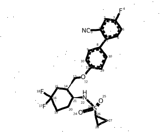 N#Cc1cc(F)ccc1-c1ccc(OC[C@@H]2CC(F)(F)CC[C@@H]2NS(=O)(=O)C2CC2)cc1